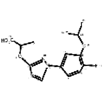 CC(Oc1ncn(-c2ccc(F)c(OC(F)F)c2)n1)C(=O)O